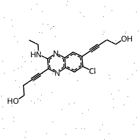 CCNc1nc2cc(C#CCCO)c(Cl)cc2nc1C#CCCO